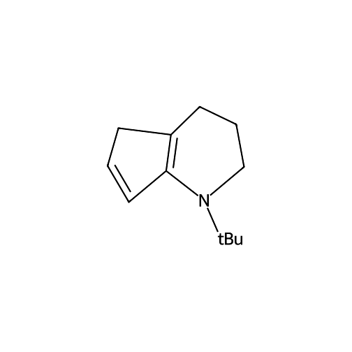 CC(C)(C)N1CCCC2=C1C=CC2